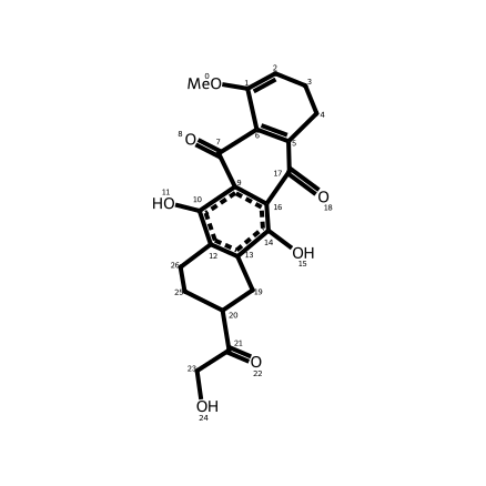 COC1=CCCC2=C1C(=O)c1c(O)c3c(c(O)c1C2=O)CC(C(=O)CO)CC3